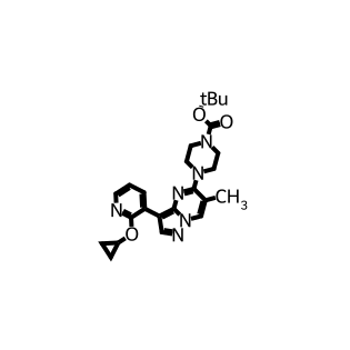 Cc1cn2ncc(-c3cccnc3OC3CC3)c2nc1N1CCN(C(=O)OC(C)(C)C)CC1